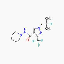 CC(C)(F)Cn1cc(C(=O)NN2CCCCC2)c(C(F)(F)F)n1